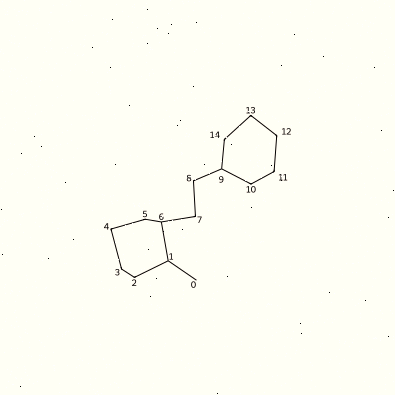 CC1CCCCC1CCC1CCCCC1